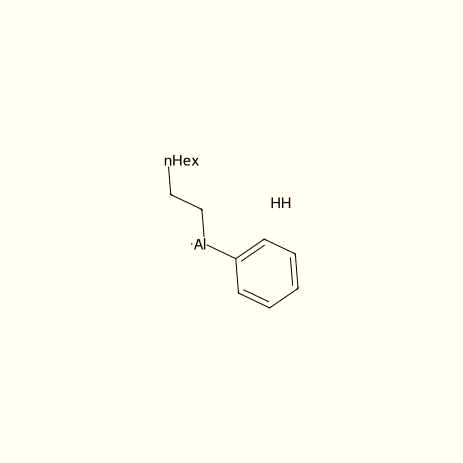 CCCCCCC[CH2][Al][c]1ccccc1.[HH]